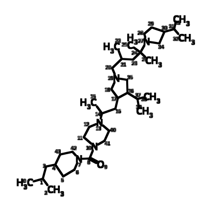 CC(C)CC1CCN(C(=O)N2CCN(C(C)CC3CN(CC(C)CC(C)(C)N4CCC(C(C)C)C4)CC3C(C)C)CC2)CC1